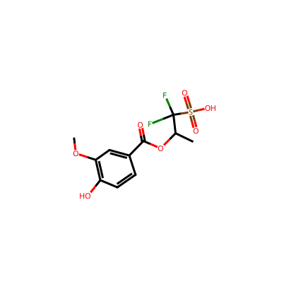 COc1cc(C(=O)OC(C)C(F)(F)S(=O)(=O)O)ccc1O